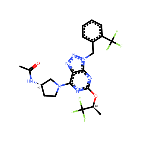 CC(=O)N[C@H]1CCN(c2nc(O[C@@H](C)C(F)(F)F)nc3c2nnn3Cc2ccccc2C(F)(F)F)C1